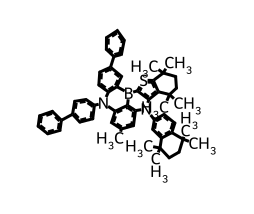 Cc1cc2c3c(c1)N(c1ccc4c(c1)C(C)(C)CCC4(C)C)c1c(sc4c1C(C)(C)CCC4(C)C)B3c1cc(-c3ccccc3)ccc1N2c1ccc(-c2ccccc2)cc1